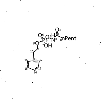 CCCCCC(=O)NOP(=O)(O)OCCc1ccccc1